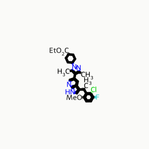 CCOC(=O)C1CCC(n2nc(C)c(-c3cnc4[nH]cc([C@H](C)c5c(OC)ccc(F)c5Cl)c4c3)c2C)CC1